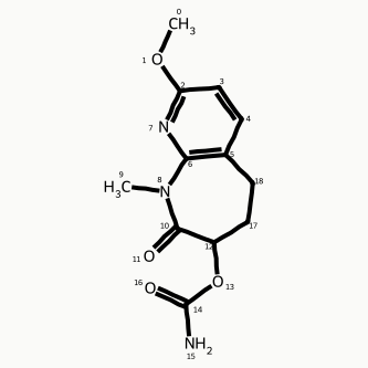 COc1ccc2c(n1)N(C)C(=O)C(OC(N)=O)CC2